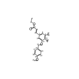 CCOC(=O)/C=C/c1cc(F)c(F)c(OCc2ccc(OC)cc2)c1